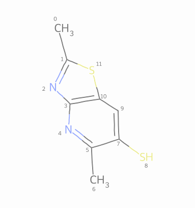 Cc1nc2nc(C)c(S)cc2s1